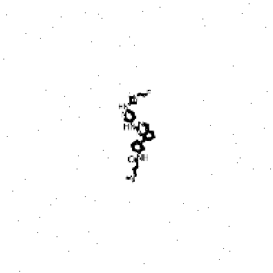 CN(C)CC=CC(=O)Nc1cccc(-c2cccc3cnc(Nc4ccc(NC5CN(CCF)C5)nc4)nc23)c1